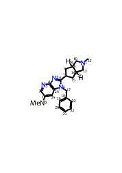 CNc1cnc2nc(C3C[C@@H]4CN(C)C[C@@H]4C3)n(Cc3ccccc3)c2c1